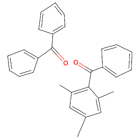 Cc1cc(C)c(C(=O)c2ccccc2)c(C)c1.O=C(c1ccccc1)c1ccccc1